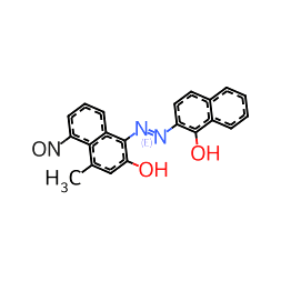 Cc1cc(O)c(/N=N/c2ccc3ccccc3c2O)c2cccc(N=O)c12